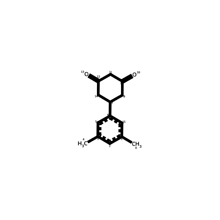 Cc1cc(C)cc(C2CC(=O)CC(=O)C2)c1